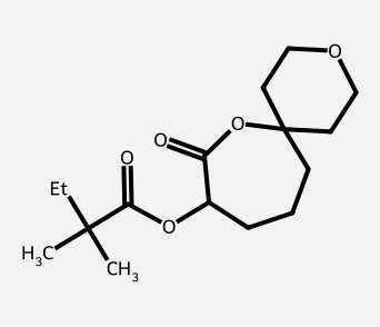 CCC(C)(C)C(=O)OC1CCCC2(CCOCC2)OC1=O